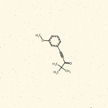 COc1cccc(C#CC(=O)C(C)(C)C)c1